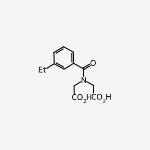 CCc1cccc(C(=O)N(CC(=O)O)CC(=O)O)c1